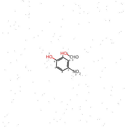 O=CO.O=[N+]([O-])c1ccc(O)cc1